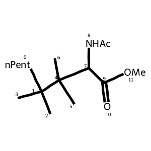 CCCCCC(C)(C)C(C)(C)C(NC(C)=O)C(=O)OC